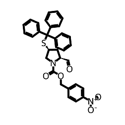 O=C[C@@H]1C[C@H](SC(c2ccccc2)(c2ccccc2)c2ccccc2)CN1C(=O)OCc1ccc([N+](=O)[O-])cc1